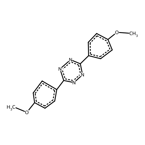 COc1ccc(-c2nnc(-c3ccc(OC)cc3)nn2)cc1